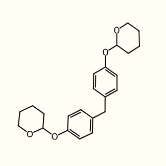 c1cc(OC2CCCCO2)ccc1Cc1ccc(OC2CCCCO2)cc1